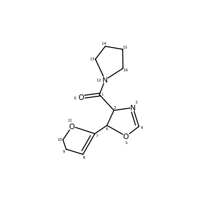 O=C(C1N=COC1C1=CCCO1)N1CCCC1